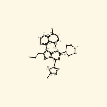 CCCc1nc2c(-c3nnc(C)[nH]3)cc(N3CCOCC3)cc2n1-c1ccnc2c(C)ccc(F)c12